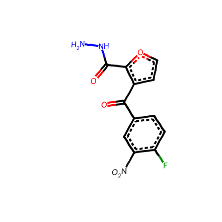 NNC(=O)c1occc1C(=O)c1ccc(F)c([N+](=O)[O-])c1